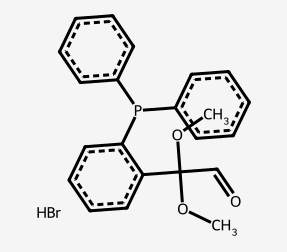 Br.COC(C=O)(OC)c1ccccc1P(c1ccccc1)c1ccccc1